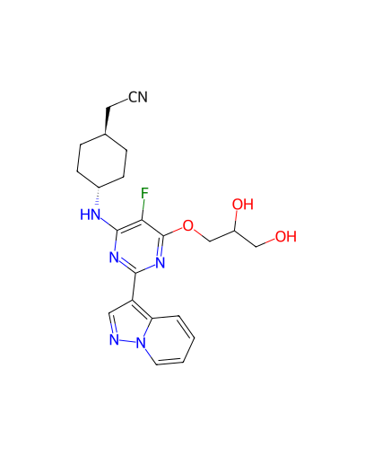 N#CC[C@H]1CC[C@H](Nc2nc(-c3cnn4ccccc34)nc(OCC(O)CO)c2F)CC1